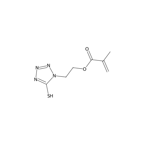 C=C(C)C(=O)OCCn1nnnc1S